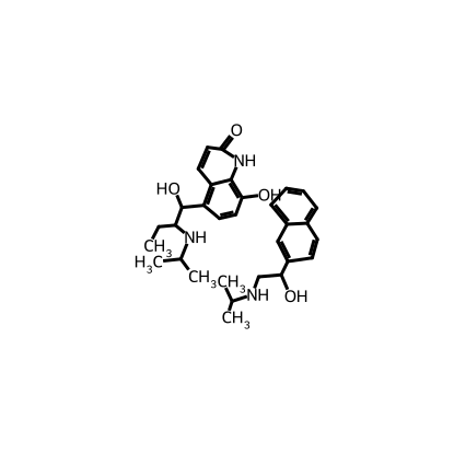 CC(C)NCC(O)c1ccc2ccccc2c1.CCC(NC(C)C)C(O)c1ccc(O)c2[nH]c(=O)ccc12